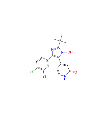 CC(C)(C)c1nc(-c2ccc(Cl)c(Cl)c2)c(-c2cc[nH]c(=O)c2)n1O